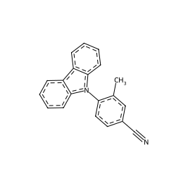 Cc1cc(C#N)ccc1-n1c2ccccc2c2ccccc21